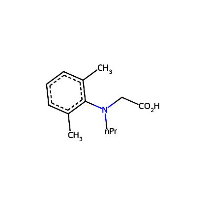 CCCN(CC(=O)O)c1c(C)cccc1C